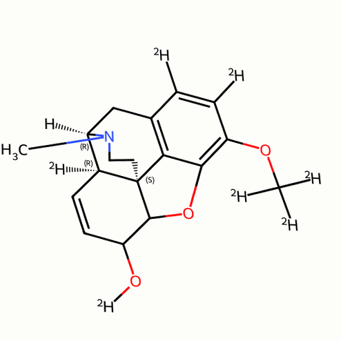 [2H]OC1C=C[C@@]2([2H])[C@H]3Cc4c([2H])c([2H])c(OC([2H])([2H])[2H])c5c4[C@@]2(CCN3C)C1O5